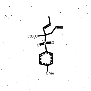 C=CCC(C=CC)(C(=O)OCC)S(=O)(=O)c1ccc(OC)cc1